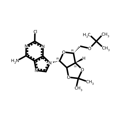 CC(C)(C)OC[C@H]1O[C@@H](n2cnc3c(N)nc(Cl)nc32)C2OC(C)(C)O[C@H]21